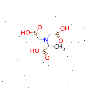 CC(N(CS(=O)O)CS(=O)O)S(=O)O